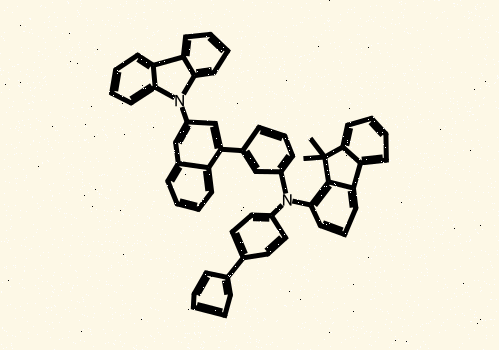 CC1(C)c2ccccc2-c2cccc(N(c3ccc(-c4ccccc4)cc3)c3cccc(-c4cc(-n5c6ccccc6c6ccccc65)cc5ccccc45)c3)c21